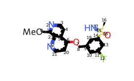 COc1nccc2c(OCc3cc(F)cc([S@](C)(=N)=O)c3)ccnc12